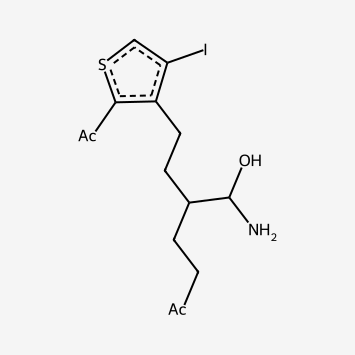 CC(=O)CCC(CCc1c(I)csc1C(C)=O)C(N)O